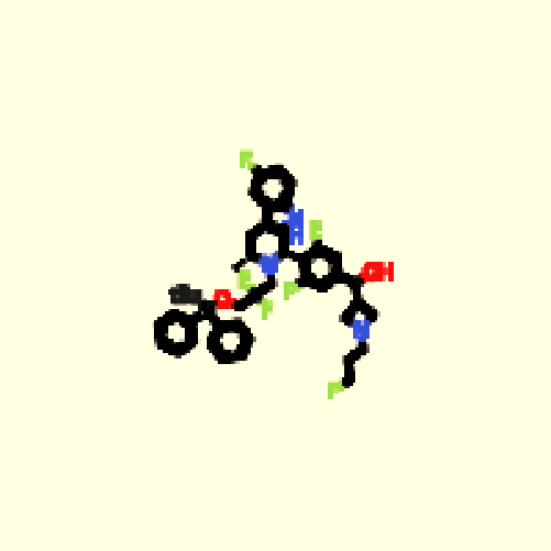 C[C@@H]1Cc2c([nH]c3ccc(F)cc23)[C@@H](c2c(F)cc(C(O)C3CN(CCCF)C3)cc2F)N1CC(F)(F)CO[Si](c1ccccc1)(c1ccccc1)C(C)(C)C